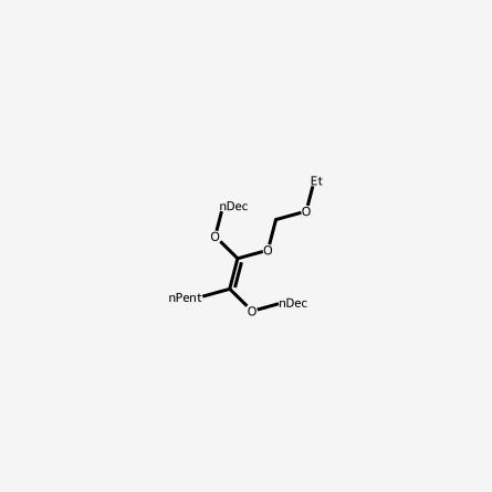 CCCCCCCCCCOC(CCCCC)=C(OCCCCCCCCCC)OCOCC